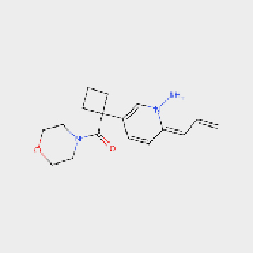 C=C/C=C1/C=CC(C2(C(=O)N3CCOCC3)CCC2)=CN1N